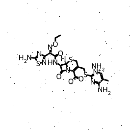 CCO/N=C(\C(=O)NC1C(=O)N2C(C(=O)[O-])=C(CSc3nc(N)c(C)c[n+]3N)CS[C@H]12)c1nsc(N)n1